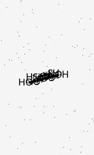 OCCOCCOCCOCCO.SCCOCCS